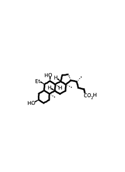 CC[C@@H]1C2C[C@H](O)CC[C@]2(C)[C@H]2CC[C@]3(C)[C@@H]([C@H](C)CCC(=O)O)CC[C@H]3[C@@H]2[C@@H]1O